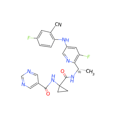 C[C@H](NC(=O)C1(NC(=O)c2cncnc2)CC1)c1ncc(Nc2ccc(F)cc2C#N)cc1F